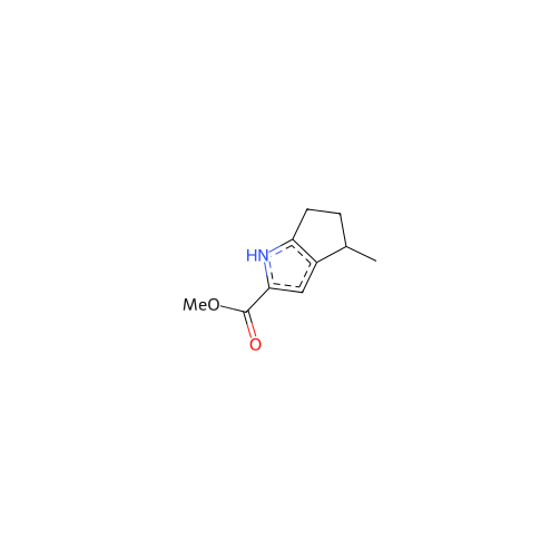 COC(=O)c1cc2c([nH]1)CCC2C